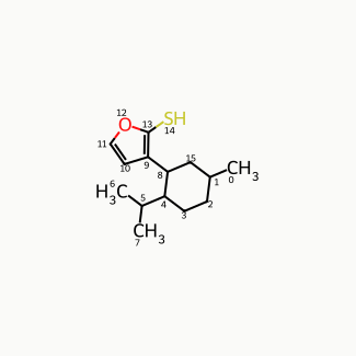 CC1CCC(C(C)C)C(c2ccoc2S)C1